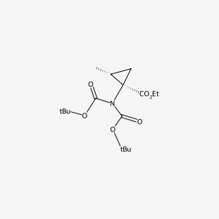 CCOC(=O)[C@@]1(N(C(=O)OC(C)(C)C)C(=O)OC(C)(C)C)C[C@H]1C